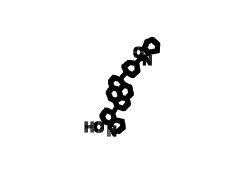 Oc1ccc(-c2ccc3ccc4c(-c5ccc(-c6nc7ccccc7o6)cc5)ccc5ccc2c3c54)c2cccnc12